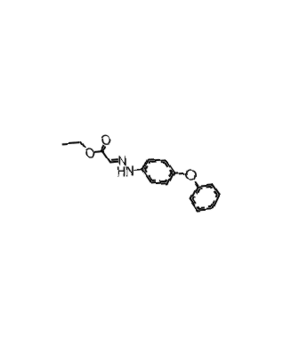 CCOC(=O)/C=N/Nc1ccc(Oc2ccccc2)cc1